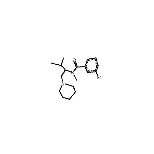 CC(C)C(CN1CCCCC1)N(C)C(=O)c1cccc(Br)c1